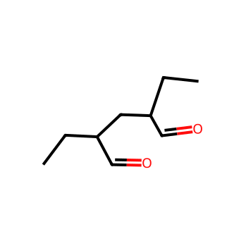 CCC(C=O)CC(C=O)CC